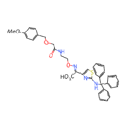 COc1ccc(COCC(=O)NCCO/N=C(\C(=O)O)c2csc(NC(c3ccccc3)(c3ccccc3)c3ccccc3)n2)cc1